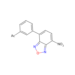 CC(=O)c1cccc(-c2ccc([N+](=O)[O-])c3nonc23)c1